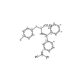 CC(C)NC(C)C.CCOC(=O)C(Cc1ccc(C)cc1)N=C(c1ccccc1)c1ccccc1